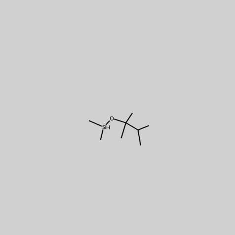 CC(C)C(C)(C)O[SiH](C)C